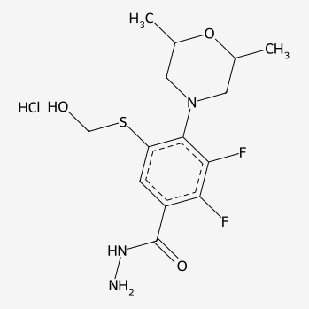 CC1CN(c2c(SCO)cc(C(=O)NN)c(F)c2F)CC(C)O1.Cl